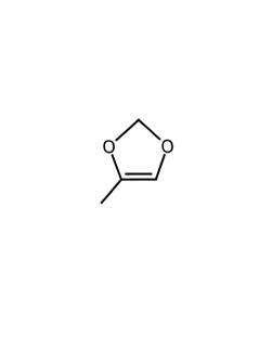 CC1=COCO1